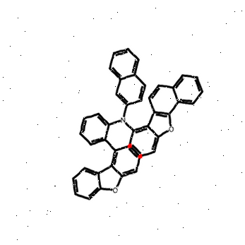 c1ccc(N(c2ccc3ccccc3c2)c2cccc3oc4c5ccccc5ccc4c23)c(-c2cccc3oc4ccccc4c23)c1